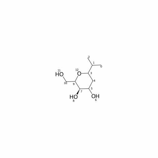 CC(C)C1CC(O)[C@@H](O)C(CO)O1